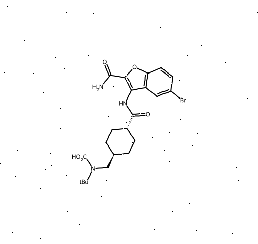 CC(C)(C)N(C[C@H]1CC[C@H](C(=O)Nc2c(C(N)=O)oc3ccc(Br)cc23)CC1)C(=O)O